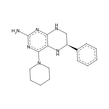 Nc1nc2c(c(N3CCCCC3)n1)N[C@H](c1ccccc1)CN2